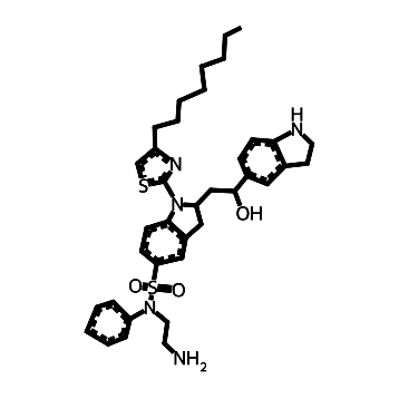 CCCCCCCCc1csc(N2c3ccc(S(=O)(=O)N(CCN)c4ccccc4)cc3CC2CC(O)c2ccc3c(c2)CCN3)n1